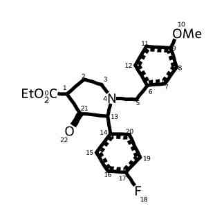 CCOC(=O)C1CCN(Cc2ccc(OC)cc2)C(c2ccc(F)cc2)C1=O